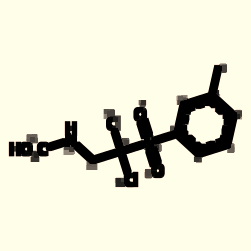 Cc1cccc(S(=O)(=O)C(Cl)(Cl)CNC(=O)O)c1